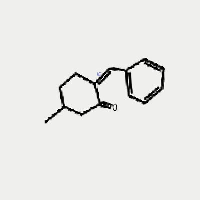 CC1CC/C(=C/c2ccccc2)C(=O)C1